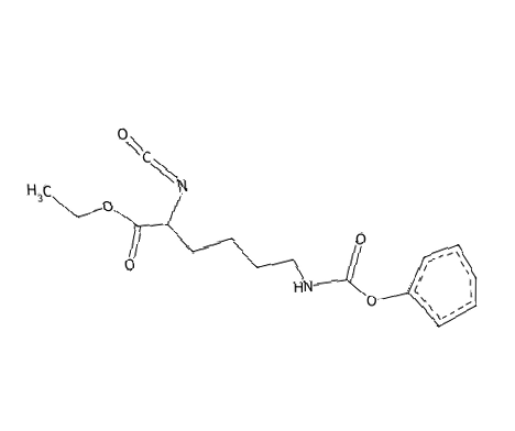 CCOC(=O)C(CCCCNC(=O)Oc1ccccc1)N=C=O